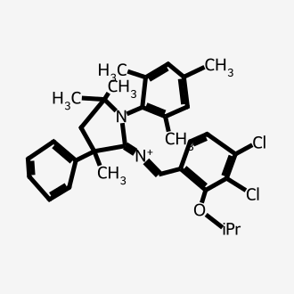 Cc1cc(C)c(N2C(=[N+]=Cc3ccc(Cl)c(Cl)c3OC(C)C)C(C)(c3ccccc3)CC2(C)C)c(C)c1